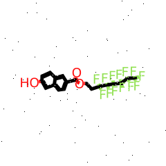 O=C(OCCC(F)(F)C(F)(F)C(F)(F)C(F)(F)C(F)(F)C(F)(F)F)c1ccc2cc(O)ccc2c1